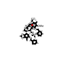 COc1c(C)cc2c(c1OCc1ccccc1)[C@@H]1[C@H](CO[Si](C)(C)C(C)(C)C)N3[C@H](c4cc(OCc5ccccc5)c(C)c5c4OCO5)CO[C@H]3C(C2)N1C(=O)OCC(Cl)(Cl)Cl